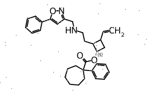 C=CC1C[C@H](OC(=O)C2(c3ccccc3)CCCCCC2)C1CCNCc1cc(-c2ccccc2)on1